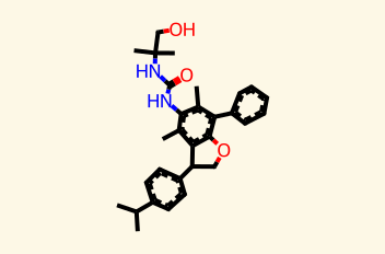 Cc1c(NC(=O)NC(C)(C)CO)c(C)c2c(c1-c1ccccc1)OCC2c1ccc(C(C)C)cc1